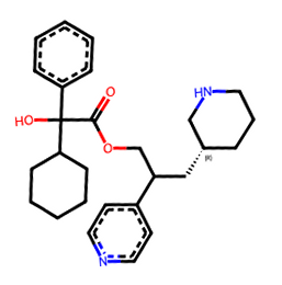 O=C(OCC(C[C@H]1CCCNC1)c1ccncc1)C(O)(c1ccccc1)C1CCCCC1